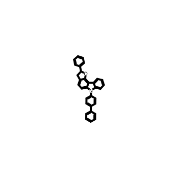 c1ccc(-c2ccc(-n3c4ccccc4c4c5c(ccc43)CC(c3ccccc3)O5)cc2)cc1